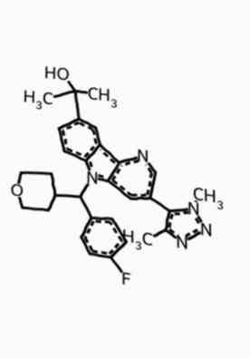 Cc1nnn(C)c1-c1cnc2c3cc(C(C)(C)O)ccc3n(C(c3ccc(F)cc3)C3CCOCC3)c2c1